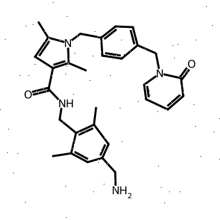 Cc1cc(CN)cc(C)c1CNC(=O)c1cc(C)n(Cc2ccc(Cn3ccccc3=O)cc2)c1C